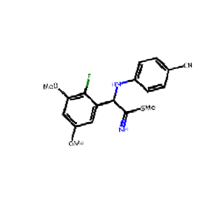 COc1cc(OC)c(F)c(C(Nc2ccc(C#N)cc2)C(=N)SC)c1